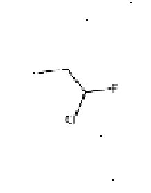 [CH2]CC(F)Cl